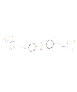 C[C@H](CCl)COc1c(Cl)cc(S(=O)(=O)c2ccc(OC[C@H](O)CNS(C)(=O)=O)cc2)cc1Cl